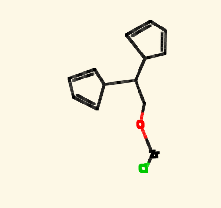 [Cl][Zr][O]CC(C1C=CC=C1)C1C=CC=C1